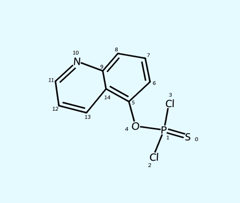 S=P(Cl)(Cl)Oc1cccc2ncccc12